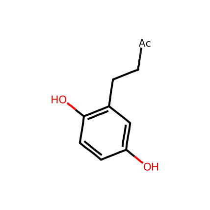 CC(=O)CCc1cc(O)ccc1O